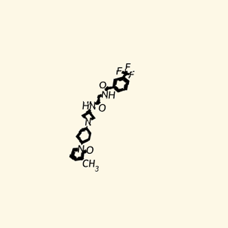 Cc1cccn([C@H]2CC[C@@H](N3CC(NC(=O)CNC(=O)c4cccc(C(F)(F)F)c4)C3)CC2)c1=O